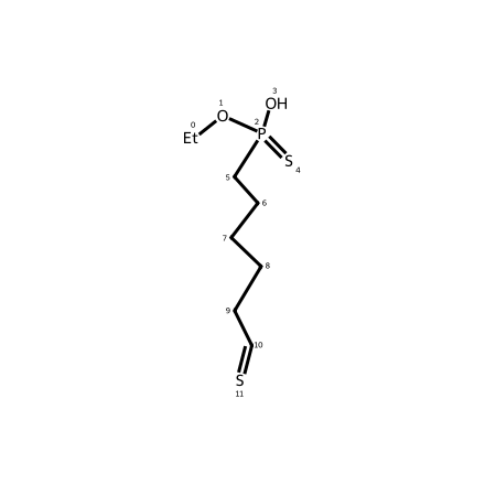 CCOP(O)(=S)CCCCCC=S